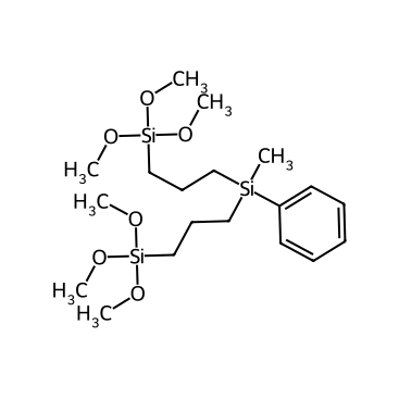 CO[Si](CCC[Si](C)(CCC[Si](OC)(OC)OC)c1ccccc1)(OC)OC